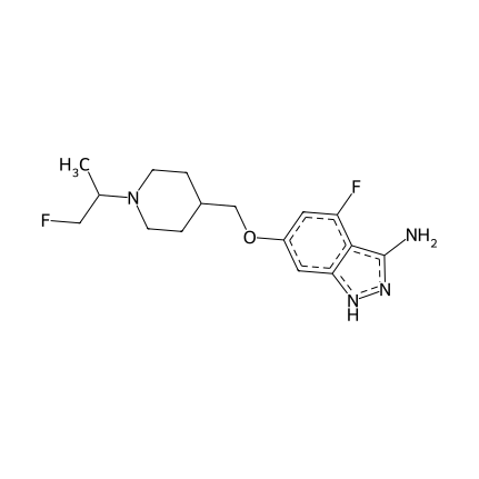 CC(CF)N1CCC(COc2cc(F)c3c(N)n[nH]c3c2)CC1